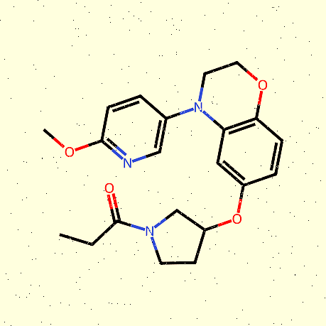 CCC(=O)N1CCC(Oc2ccc3c(c2)N(c2ccc(OC)nc2)CCO3)C1